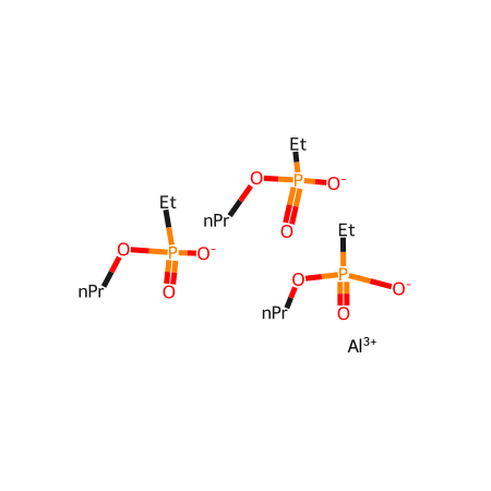 CCCOP(=O)([O-])CC.CCCOP(=O)([O-])CC.CCCOP(=O)([O-])CC.[Al+3]